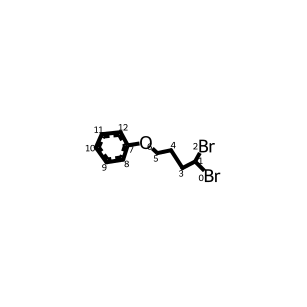 BrC(Br)CCCOc1ccccc1